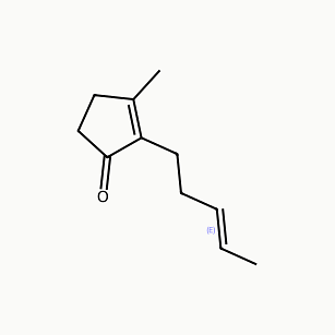 C/C=C/CCC1=C(C)CCC1=O